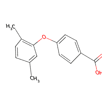 Cc1ccc(C)c(Oc2ccc(C(=O)O)cc2)c1